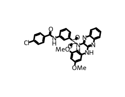 COc1cc(Nc2nc3ccccc3nc2NS(=O)(=O)c2cccc(NC(=O)c3ccc(Cl)cc3)c2)cc(OC)c1